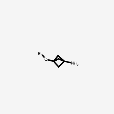 CCOC12CC(N)(C1)C2